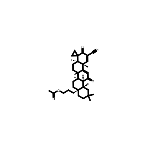 CC(=O)OCCC[C@]12CCC(C)(C)C[C@H]1[C@H]1C(=O)C=C3[C@@]4(C)C=C(C#N)C(=O)C5(CC5)[C@@H]4CC[C@@]3(C)[C@]1(C)CC2